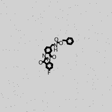 O=C(NCc1ccc2nc3n(c(=O)c2c1)-c1ccc(F)cc1C3=O)OCc1ccccc1